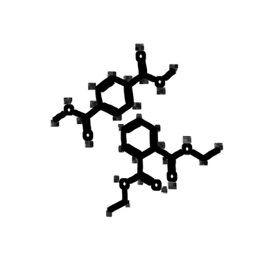 CCOC(=O)c1ccccc1C(=O)OCC.COC(=O)c1ccc(C(=O)OC)cc1